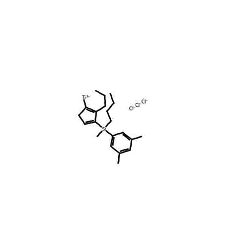 CCCC[Si](C)(C1=CC[C]([Ti+3])=C1CCC)c1cc(C)cc(C)c1.[Cl-].[Cl-].[Cl-]